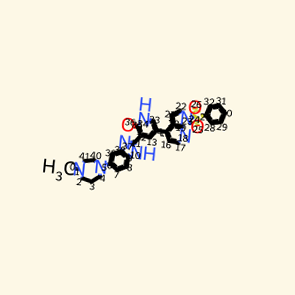 CN1CCCN(c2ccc3[nH]c(-c4cc(-c5ccnc6c5ccn6S(=O)(=O)c5ccccc5)c[nH]c4=O)nc3c2)CC1